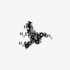 C=C[C@@H]1C[C@]1(NC(=O)[C@@H]1C[C@@H](Oc2cc(-c3ccccc3)nc3cc(OC)ccc23)CN1C(=O)[C@@H](CC(=O)N1CC2C3CCC(C)(O3)C2C1)C(C)(C)C)C(=O)NS(=O)(=O)C1CC1